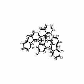 Cc1cc(-c2c(Nc3ccccc3C)ccc3sc4ccccc4c23)c2c(c1)-n1c3ccccc3c3cccc(c31)B2